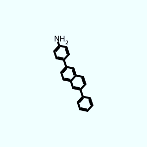 Nc1ccc(-c2ccc3cc(-c4ccccc4)ccc3c2)cc1